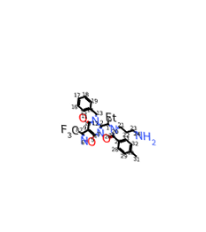 CCC(c1nc2onc(C(F)(F)F)c2c(=O)n1Cc1ccccc1)N(CCCN)C(=O)c1ccc(C)cc1